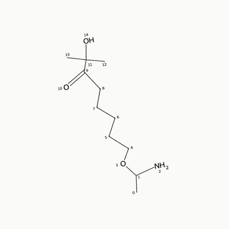 CC(N)OCCCCCC(=O)C(C)(C)O